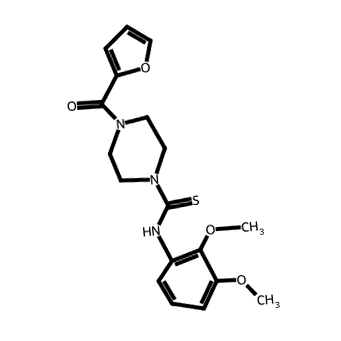 COc1cccc(NC(=S)N2CCN(C(=O)c3ccco3)CC2)c1OC